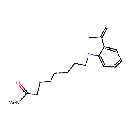 C=C(C)c1ccccc1NCCCCCCCC(=O)NC